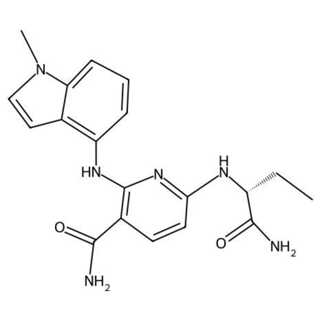 CC[C@@H](Nc1ccc(C(N)=O)c(Nc2cccc3c2ccn3C)n1)C(N)=O